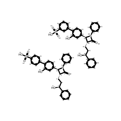 O=C1[C@H](CC[C@H](O)c2ccccc2)[C@@H](c2ccc(-c3ccc(S(=O)(=O)O)cc3)c(O)c2)N1c1ccccc1.O=C1[C@H](CC[C@H](O)c2ccccc2)[C@@H](c2ccc(-c3cccc(S(=O)(=O)O)c3)c(O)c2)N1c1ccccc1